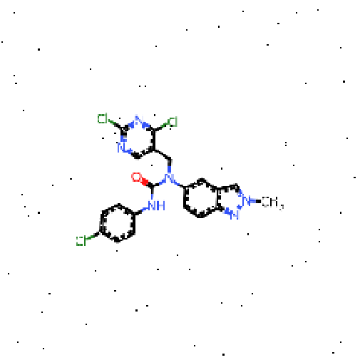 Cn1cc2cc(N(Cc3cnc(Cl)nc3Cl)C(=O)Nc3ccc(Cl)cc3)ccc2n1